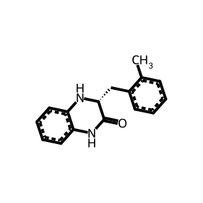 Cc1ccccc1C[C@H]1Nc2ccccc2NC1=O